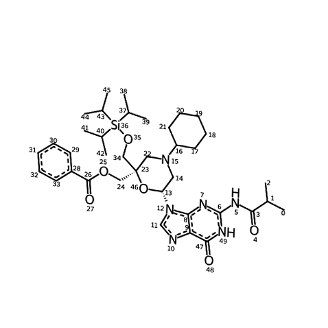 CC(C)C(=O)Nc1nc2c(ncn2[C@H]2CN(C3CCCCC3)C[C@](COC(=O)c3ccccc3)(CO[Si](C(C)C)(C(C)C)C(C)C)O2)c(=O)[nH]1